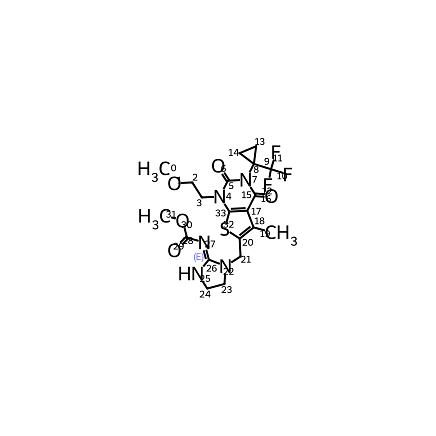 COCCn1c(=O)n(C2(C(F)(F)F)CC2)c(=O)c2c(C)c(CN3CCN/C3=N\C(=O)OC)sc21